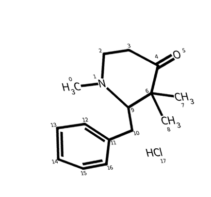 CN1CCC(=O)C(C)(C)C1Cc1ccccc1.Cl